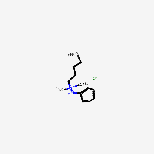 CCCCCCCCCCCCC[N+](C)(C)Nc1ccccc1.[Cl-]